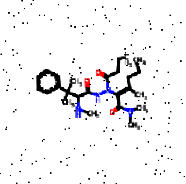 CCCC(=O)N(NC(=O)C(NC)C(C)(C)c1ccccc1)C(C(=O)N(C)C)=C(C)CCC